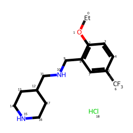 CCOc1ccc(C(F)(F)F)cc1CNCC1CCNCC1.Cl